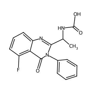 CC(NC(=O)O)c1nc2cccc(F)c2c(=O)n1-c1ccccc1